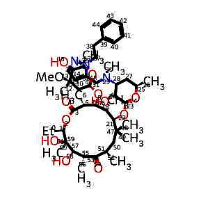 CC[C@H]1OC(=O)[C@H](C)[C@@H](O[C@H]2C[C@@](C)(OC)[C@@H](O)[C@H](C)O2)[C@H](C)[C@@H](O[C@@H]2O[C@H](C)C[C@H](N(C)Cc3ccnn3CCc3ccccc3)[C@H]2O)C(C)(C)C[C@@H](C)C(=O)[C@H](C)[C@@H](O)[C@]1(C)O